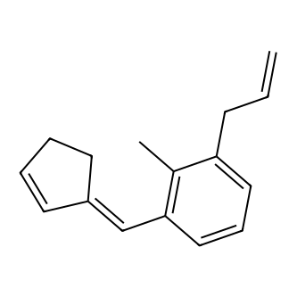 C=CCc1cccc(C=C2C=CCC2)c1C